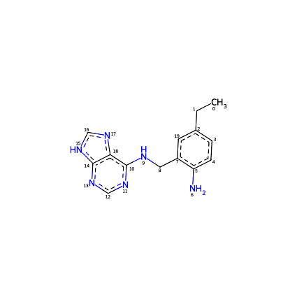 CCc1ccc(N)c(CNc2ncnc3[nH]cnc23)c1